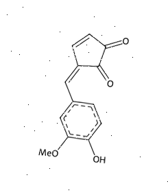 COc1cc(C=C2C=CC(=O)C2=O)ccc1O